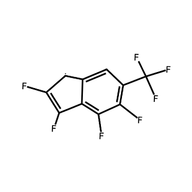 FC1=C(F)c2c(cc(C(F)(F)F)c(F)c2F)[CH]1